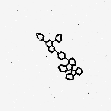 c1ccc(-c2cc(-c3ccccn3)nc3ccc(-c4ccc(-c5cccc6c5-c5ccccc5C65c6ccccc6-c6ccccc65)cc4)cc23)cc1